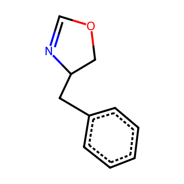 C1=NC(Cc2ccccc2)CO1